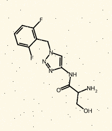 NC(CO)C(=O)Nc1cn(Cc2c(F)cccc2F)nn1